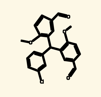 COc1ccc(C=O)cc1C(c1cccc(Cl)c1)c1cc(C=O)ccc1OC